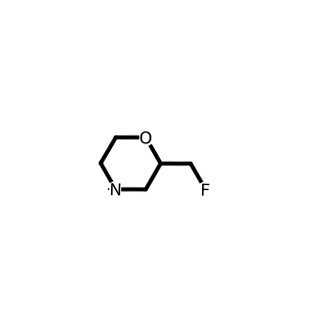 FCC1C[N]CCO1